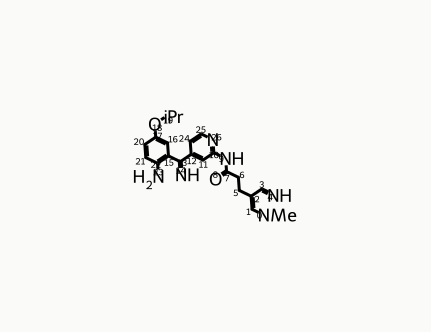 CN/C=C(\C=N)CCC(=O)Nc1cc(C(=N)c2cc(OC(C)C)ccc2N)ccn1